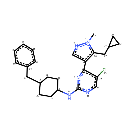 Cn1ncc(-c2nc(NC3CCC(Cc4ccccc4)CC3)ncc2Cl)c1CC1CC1